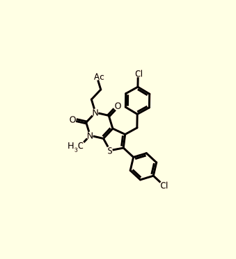 CC(=O)CCn1c(=O)c2c(Cc3ccc(Cl)cc3)c(-c3ccc(Cl)cc3)sc2n(C)c1=O